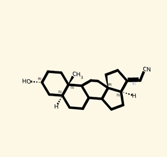 C[C@]12CC[C@@H](O)C[C@@H]1CCC1C3CC[C@@H]4/C(=C/C#N)CC[C@]34CCC12